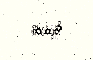 COc1cc(Oc2ccc3c(c2)nnn3C)c(C)c(F)c1Nc1ncnc2ccc(Cl)nc12